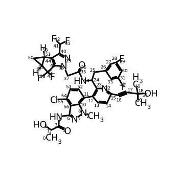 C[C@H](O)C(=O)Nc1nn(C)c2c(-c3ccc(C#CC(C)(C)O)nc3C(Cc3cc(F)cc(F)c3)NC(=O)Cn3nc(C(F)F)c4c3C(F)(F)[C@@H]3C[C@H]43)ccc(Cl)c12